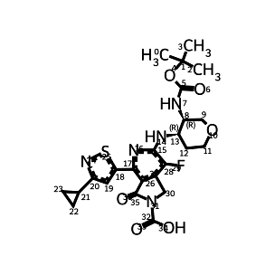 CC(C)(C)OC(=O)N[C@H]1COCC[C@H]1Nc1nc(-c2cc(C3CC3)ns2)c2c(c1F)CN(C(=O)O)C2=O